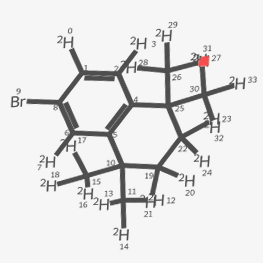 [2H]c1c([2H])c2c(c([2H])c1Br)C(C([2H])([2H])[2H])(C([2H])([2H])[2H])C([2H])([2H])C([2H])([2H])C2(C([2H])([2H])[2H])C([2H])([2H])[2H]